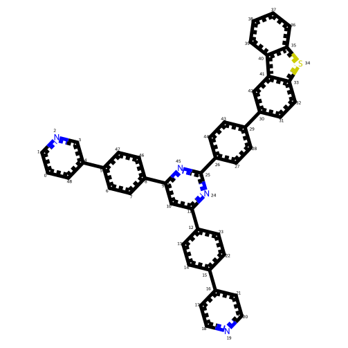 c1cncc(-c2ccc(-c3cc(-c4ccc(-c5ccncc5)cc4)nc(-c4ccc(-c5ccc6sc7ccccc7c6c5)cc4)n3)cc2)c1